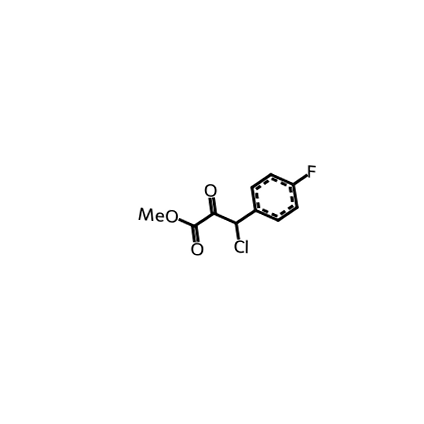 COC(=O)C(=O)C(Cl)c1ccc(F)cc1